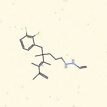 C=CNNCCCC(C)(Cc1cccc(F)c1F)/C(C)=C(\C)C(=C)C